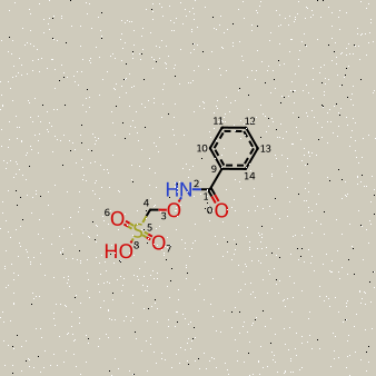 O=C(NOCS(=O)(=O)O)c1ccccc1